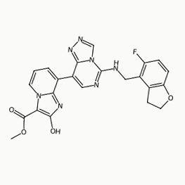 COC(=O)c1c(O)nc2c(-c3cnc(NCc4c(F)ccc5c4CCO5)n4cnnc34)cccn12